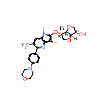 O[C@@H]1CO[C@H]2[C@@H]1OC[C@H]2Oc1[nH]c2cc(C(F)(F)F)c(-c3ccc(N4CCOCC4)cc3)nc2c1F